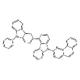 c1ccc(-n2c3ccccc3c3cc(-c4cccc5c4c4ccccc4n5-c4ncc5ccc6ccccc6c5n4)ccc32)cc1